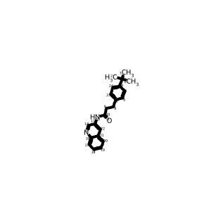 CC(C)(C)c1ccc(CCC(=O)Nc2cnc3ccccc3c2)cc1